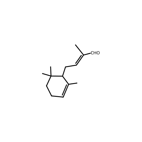 CC(C=O)=CCC1C(C)=CCCC1(C)C